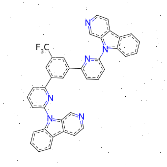 FC(F)(F)c1cc(-c2cccc(-n3c4ccccc4c4ccncc43)n2)cc(-c2cccc(-n3c4ccccc4c4ccncc43)n2)c1